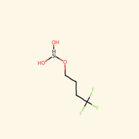 O[SiH](O)OCCCC(F)(F)F